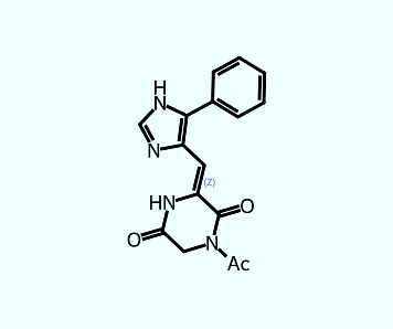 CC(=O)N1CC(=O)N/C(=C\c2nc[nH]c2-c2ccccc2)C1=O